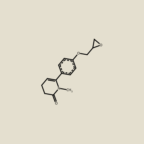 CN1C(=O)CCC=C1c1ccc(OCC2CO2)cc1